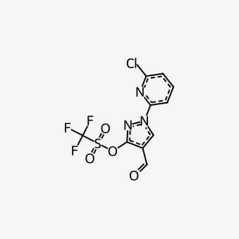 O=Cc1cn(-c2cccc(Cl)n2)nc1OS(=O)(=O)C(F)(F)F